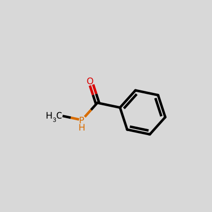 CPC(=O)c1ccccc1